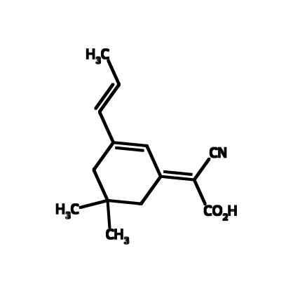 C/C=C/C1=CC(=C(\C#N)C(=O)O)/CC(C)(C)C1